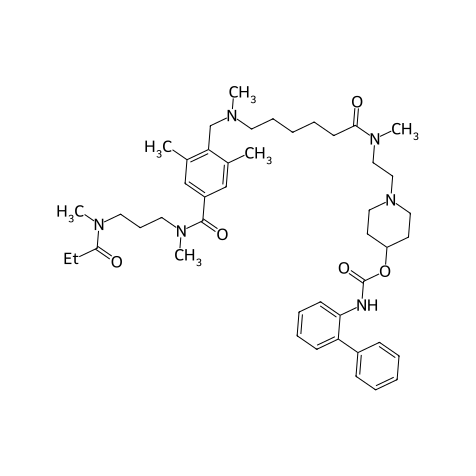 CCC(=O)N(C)CCCN(C)C(=O)c1cc(C)c(CN(C)CCCCCC(=O)N(C)CCN2CCC(OC(=O)Nc3ccccc3-c3ccccc3)CC2)c(C)c1